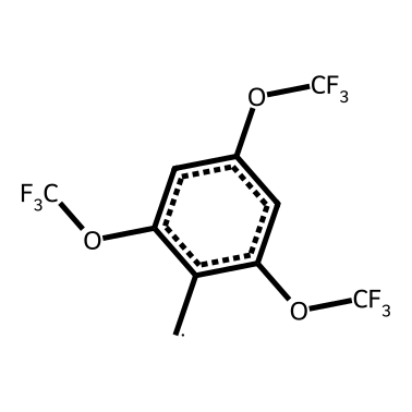 [CH2]c1c(OC(F)(F)F)cc(OC(F)(F)F)cc1OC(F)(F)F